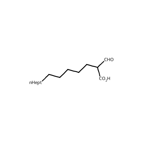 CCCCCCCCCCCCC(C=O)C(=O)O